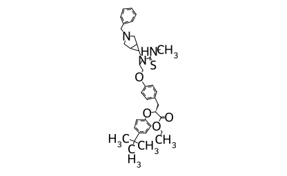 CCOC(=O)[C@H](Cc1ccc(OCCN(C(=S)NC)C2C3CN(Cc4ccccc4)CC32)cc1)Oc1ccc(C(C)(C)C)cc1